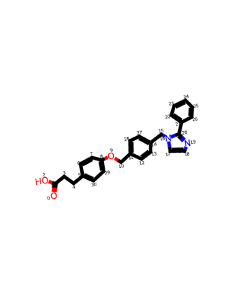 O=C(O)CCc1ccc(OCc2ccc(Cn3ccnc3-c3ccccc3)cc2)cc1